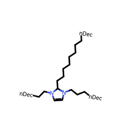 CCCCCCCCCCCCCCCCCCC1N(CCCCCCCCCCCC)C=CN1CCCCCCCCCCCCC